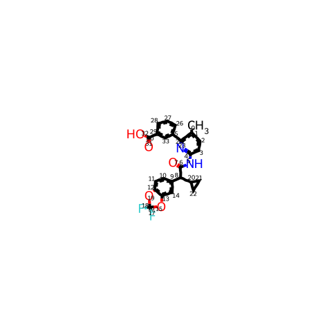 Cc1ccc(NC(=O)C(c2ccc3c(c2)OC(F)(F)O3)C2CC2)nc1-c1cccc(C(=O)O)c1